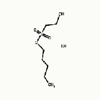 CCCCCOS(=O)(=O)CCO.[KH]